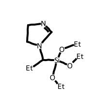 CCO[Si](OCC)(OCC)C(CC)N1C=NCC1